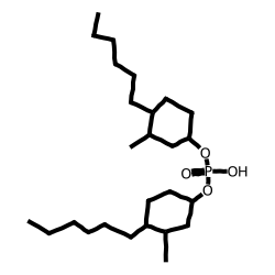 CCCCCCC1CCC(OP(=O)(O)OC2CCC(CCCCCC)C(C)C2)CC1C